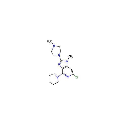 CN1CCN(c2nc3c(N4CCCCC4)nc(Cl)cc3n2C)CC1